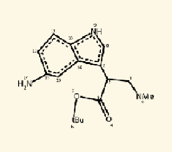 CNCC(C(=O)OC(C)(C)C)c1c[nH]c2ccc(N)cc12